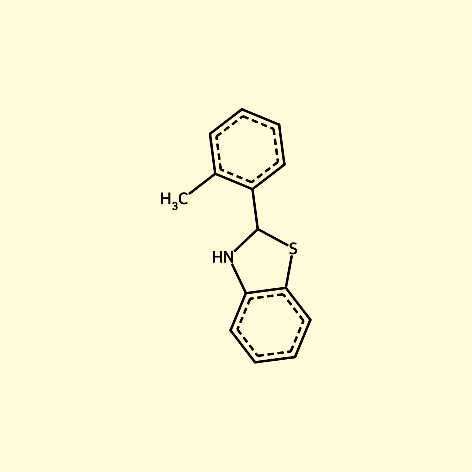 Cc1ccccc1C1Nc2ccccc2S1